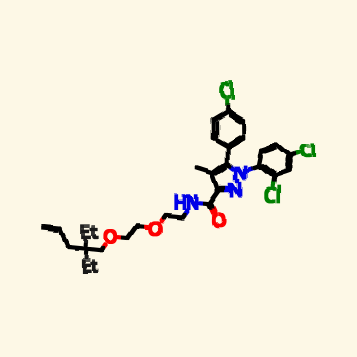 C=CCC(CC)(CC)COCCOCCNC(=O)c1nn(-c2ccc(Cl)cc2Cl)c(-c2ccc(Cl)cc2)c1C